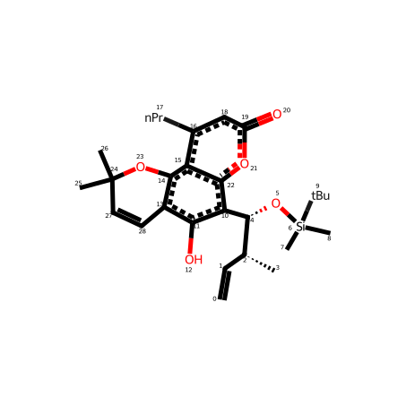 C=C[C@@H](C)[C@@H](O[Si](C)(C)C(C)(C)C)c1c(O)c2c(c3c(CCC)cc(=O)oc13)OC(C)(C)C=C2